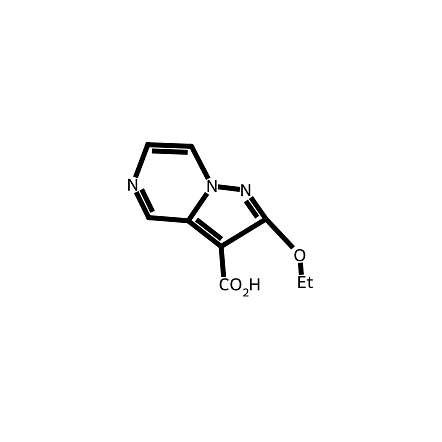 CCOc1nn2ccncc2c1C(=O)O